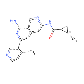 Cc1ccncc1-c1cc2cc(NC(=O)C3C[C@@H]3C)ncc2c(N)n1